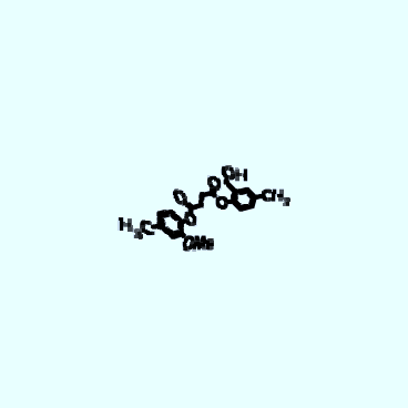 COc1cc(C)ccc1OC(=O)CCC(=O)Oc1ccc(C)cc1CO